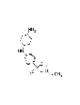 CCOCC(C)(C)c1ccc(NC2CCC(N)CC2)cc1